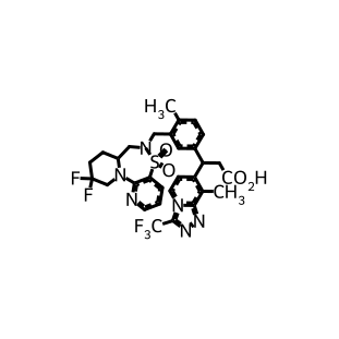 Cc1ccc(C(CC(=O)O)c2ccn3c(C(F)(F)F)nnc3c2C)cc1CN1CC2CCC(F)(F)CN2c2ncccc2S1(=O)=O